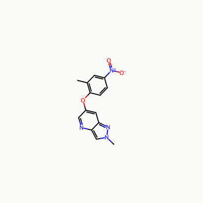 Cc1cc([N+](=O)[O-])ccc1Oc1cnc2cn(C)nc2c1